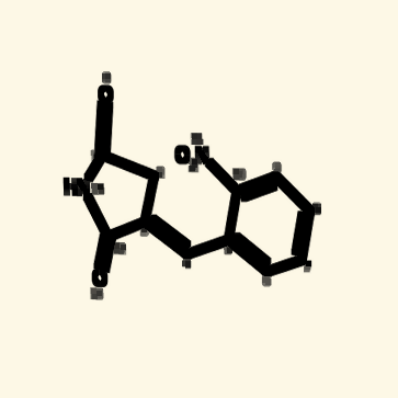 O=C1CC(=Cc2ccccc2[N+](=O)[O-])C(=O)N1